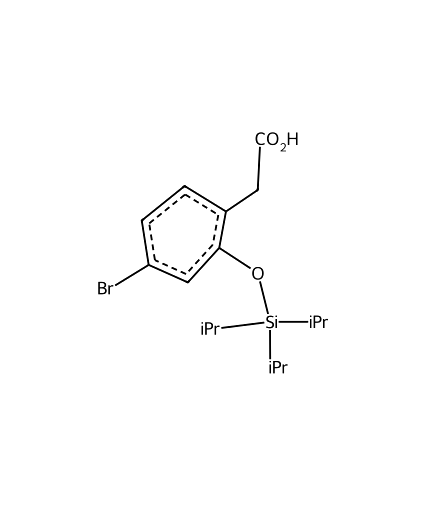 CC(C)[Si](Oc1cc(Br)ccc1CC(=O)O)(C(C)C)C(C)C